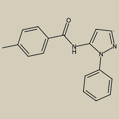 Cc1ccc(C(=O)Nc2c[c]nn2-c2ccccc2)cc1